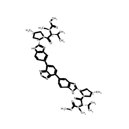 COC(=O)N(C)[C@H](C(=O)N1C[C@@H](C)C[C@H]1c1nc2cc(-c3ccc(-c4ccc5[nH]c([C@@H]6C[C@H](C)CN6C(=O)[C@H](C(C)C)N(C)C(=O)OC)nc5c4)c4nsnc34)ccc2[nH]1)C(C)C